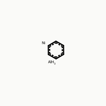 [AlH3].[Ni].c1ccccc1